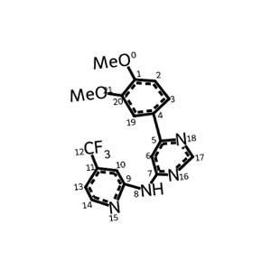 COc1ccc(-c2cc(Nc3cc(C(F)(F)F)ccn3)ncn2)cc1OC